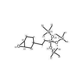 C[Si](C)(C)O[Si](CCC1CCC2OC2C1)(O[Si](C)(C)C)O[Si](C)(C)C